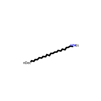 [CH2]CCCCCCCCCCCCCCCCCCCCCCCCCCCCCCCNCC